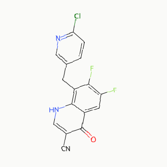 N#Cc1c[nH]c2c(Cc3ccc(Cl)nc3)c(F)c(F)cc2c1=O